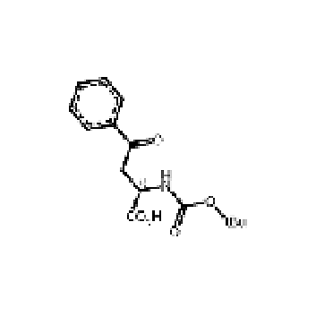 CC(C)(C)OC(=O)N[C@H](CC(=O)c1ccccc1)C(=O)O